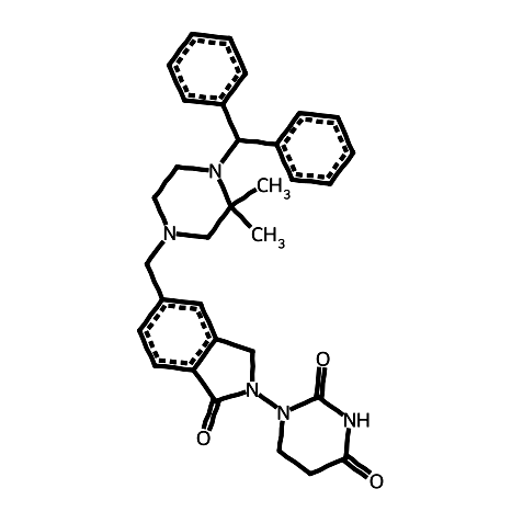 CC1(C)CN(Cc2ccc3c(c2)CN(N2CCC(=O)NC2=O)C3=O)CCN1C(c1ccccc1)c1ccccc1